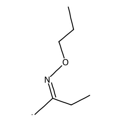 [CH2]C(CC)=NOCCC